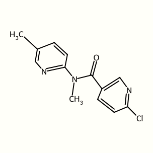 Cc1ccc(N(C)C(=O)c2ccc(Cl)nc2)nc1